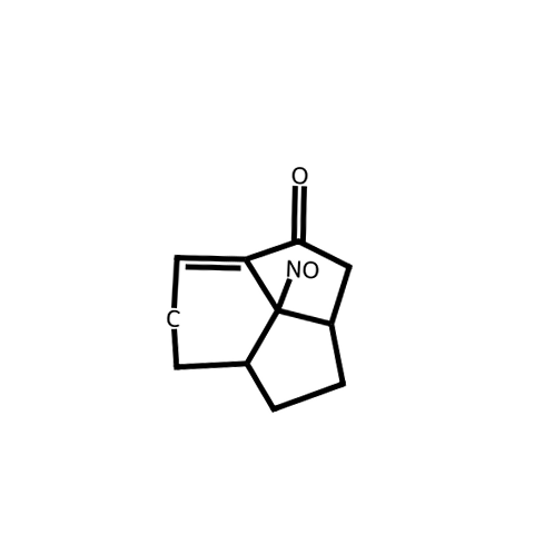 O=NC12C3=CCCC1CCC2CC3=O